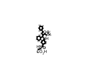 C[S+]([O-])Cc1oc(-c2ccccc2)cc1C(Nc1ccc(C(=O)NCCC(=O)O)cc1)C1CCCCC1